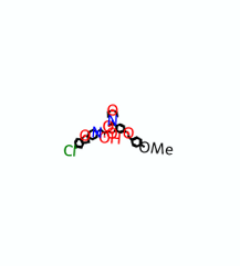 COc1ccc(COc2ccc(C(=O)N3CCOCC3)c(OC[C@@H](O)CN3CCC4(CC3)Cc3cc(Cl)ccc3O4)c2)cc1